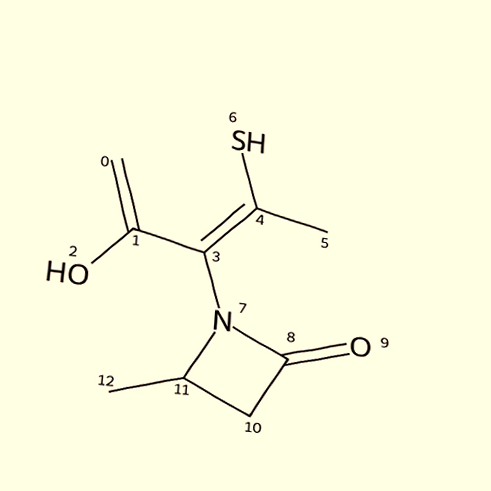 C=C(O)/C(=C(/C)S)N1C(=O)CC1C